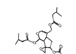 CC(=O)OC1CC2C(COC(=O)CC(C)C)=COC(OC(=O)CC(C)C)C2C12CO2